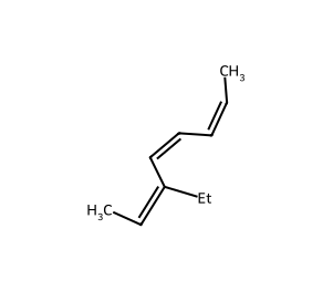 C\C=C/C=C\C(=C/C)CC